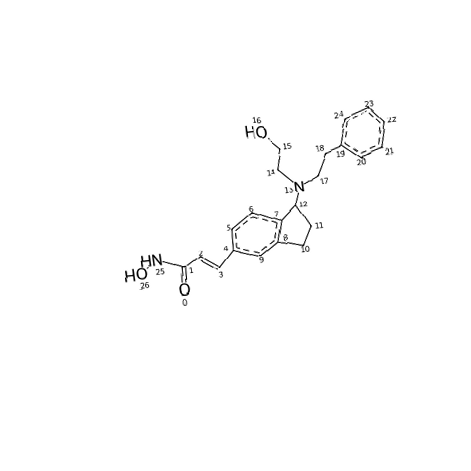 O=C(C=Cc1ccc2c(c1)CCC2N(CCO)CCc1ccccc1)NO